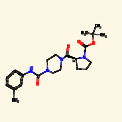 Cc1cccc(NC(=O)N2CCN(C(=O)[C@@H]3CCCN3C(=O)OC(C)(C)C)CC2)c1